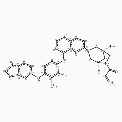 C=CC(=O)N1C[C@H]2C[C@@H]1CN(c1ccc3ncnc(Nc4ccc(Oc5ccn6ncnc6c5)c(C)c4F)c3n1)C2